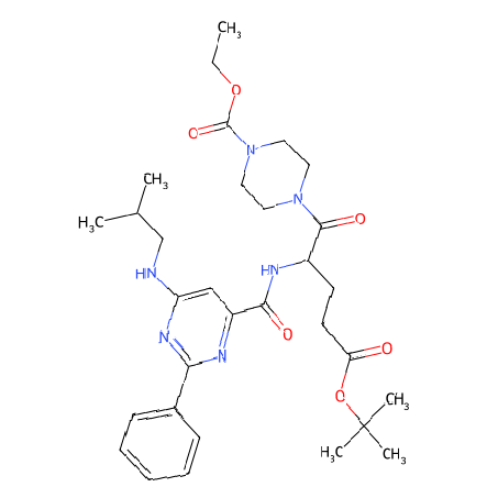 CCOC(=O)N1CCN(C(=O)C(CCC(=O)OC(C)(C)C)NC(=O)c2cc(NCC(C)C)nc(-c3ccccc3)n2)CC1